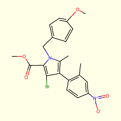 COC(=O)c1c(Br)c(-c2ccc([N+](=O)[O-])cc2C)c(C)n1Cc1ccc(OC)cc1